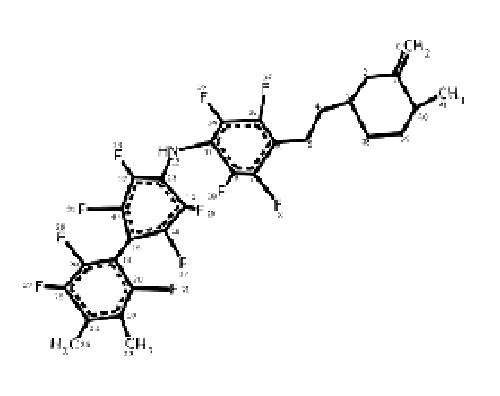 C=C1CC(CCc2c(F)c(F)c(Nc3c(F)c(F)c(-c4c(F)c(C)c(C)c(F)c4F)c(F)c3F)c(F)c2F)CCC1C